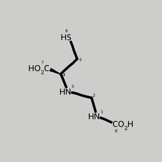 O=C(O)NCN[C@H](CS)C(=O)O